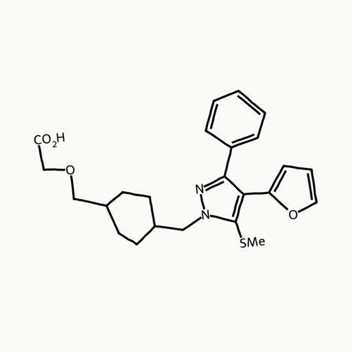 CSc1c(-c2ccco2)c(-c2ccccc2)nn1CC1CCC(COCC(=O)O)CC1